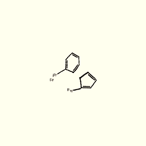 CC(C)c1ccccc1.[Fe].[Fe][C]1=CC=CC1